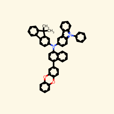 CC1(C)c2ccccc2-c2ccc(N(c3ccc4c(c3)c3ccccc3n4-c3ccccc3)c3ccc(-c4ccc5c(c4)Oc4ccccc4O5)c4ccccc34)cc21